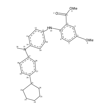 COC(=O)c1cc(OC)ccc1Nc1ccc(N(C)c2ccc(C3CCCCC3)cc2)cc1